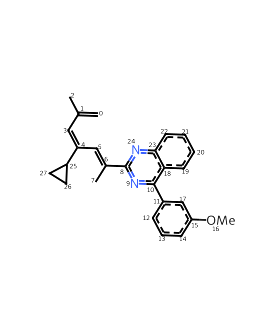 C=C(C)/C=C(\C=C(/C)c1nc(-c2cccc(OC)c2)c2ccccc2n1)C1CC1